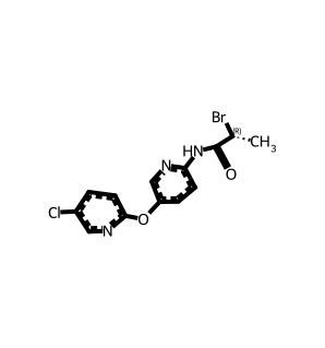 C[C@@H](Br)C(=O)Nc1ccc(Oc2ccc(Cl)cn2)cn1